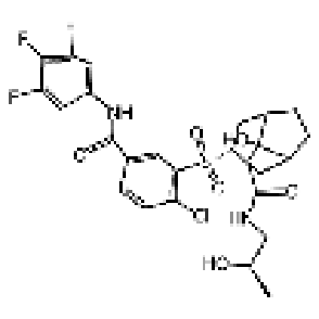 C[C@@H](O)CNC(=O)C[C@]1(O)C2CCC1C[C@@H](S(=O)(=O)c1cc(C(=O)Nc3cc(F)c(F)c(F)c3)ccc1Cl)C2